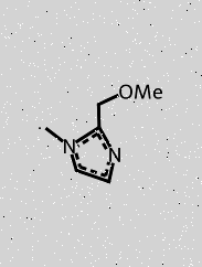 [CH2]n1ccnc1COC